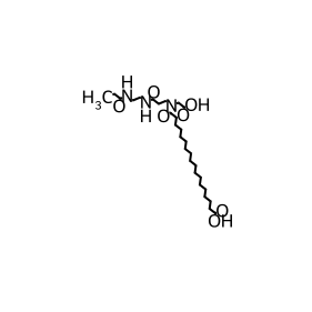 CCC(=O)NCCNC(=O)CCN(CC(=O)O)C(=O)CCCCCCCCCCCCCCCCC(=O)O